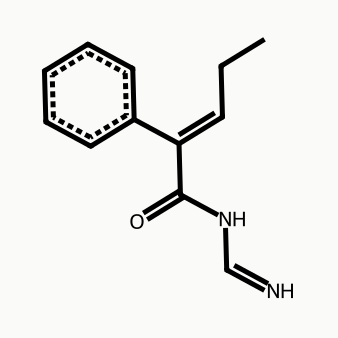 CC/C=C(/C(=O)NC=N)c1ccccc1